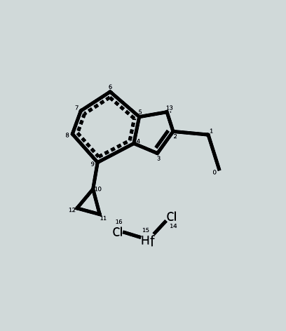 CCC1=Cc2c(cccc2C2CC2)[CH]1.[Cl][Hf][Cl]